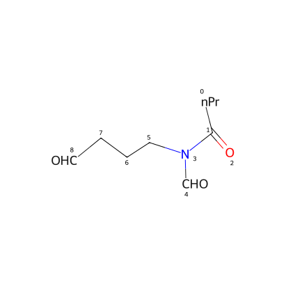 CCCC(=O)N(C=O)CCCC=O